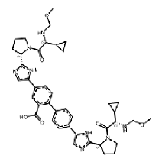 COCN[C@H](C(=O)N1CCC[C@H]1c1ncc(-c2ccc(-c3ccc(-c4cnc([C@@H]5CCCN5C(=O)[C@@H](NCOC)C5CC5)[nH]4)cc3C(=O)O)cc2)[nH]1)C1CC1